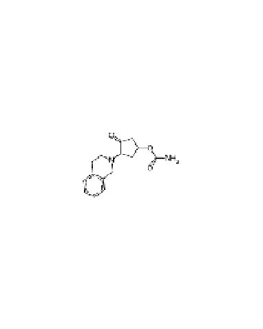 NC(=O)OC1CC(=O)C(N2CCc3ccccc3C2)C1